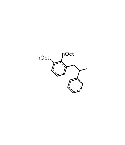 CCCCCCCCc1cccc(CC(C)c2ccccc2)c1CCCCCCCC